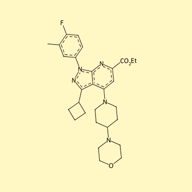 CCOC(=O)c1cc(N2CCC(N3CCOCC3)CC2)c2c(C3CCC3)nn(-c3ccc(F)c(C)c3)c2n1